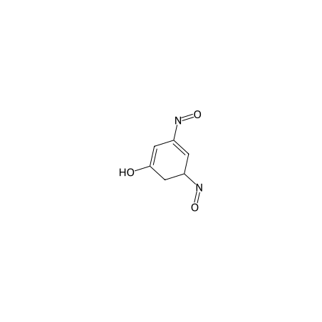 O=NC1=CC(N=O)CC(O)=C1